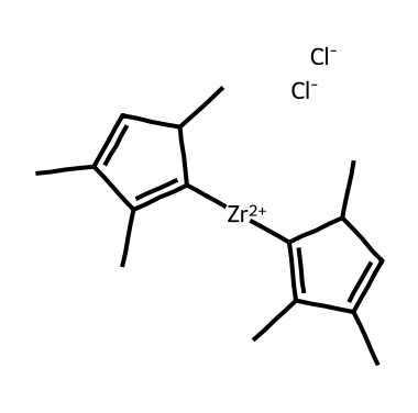 CC1=CC(C)[C]([Zr+2][C]2=C(C)C(C)=CC2C)=C1C.[Cl-].[Cl-]